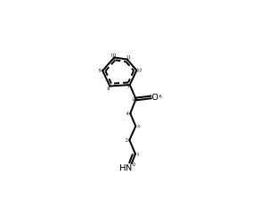 N=CCCCC(=O)c1cc[c]cc1